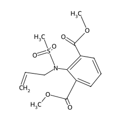 C=CCN(c1c(C(=O)OC)cccc1C(=O)OC)S(C)(=O)=O